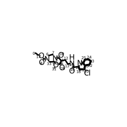 CCOC(=O)N1CCN(C(=O)C(CCNC(=O)c2cc(Cl)c3ccccc3n2)C(=O)OC)CC1